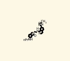 CCCNc1ccc2c(c1)C(=O)N(CCNc1nccc3ccc(-c4noc(C)n4)cc13)C2